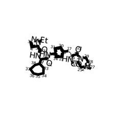 CCn1nccc1C(=O)N[C@H](C(=O)Nc1ccc(C[C@@H](NC(=O)O)C(=O)N2CCN(C)CC2)cc1)C1CCCCCC1